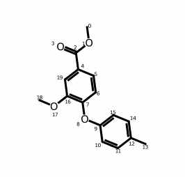 COC(=O)c1ccc(Oc2ccc(C)cc2)c(OC)c1